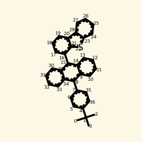 CC(C)(C)c1ccc(-c2c3ccccc3c(-c3cccc4c3sc3ccccc34)c3ccccc23)cc1